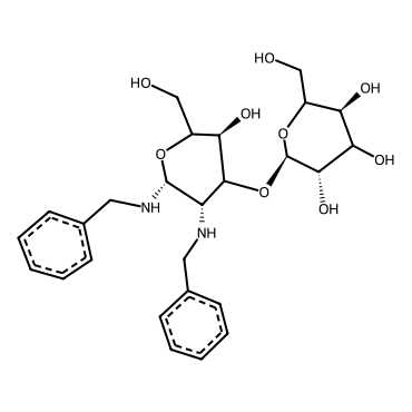 OCC1O[C@H](OC2[C@H](O)C(CO)O[C@@H](NCc3ccccc3)[C@H]2NCc2ccccc2)[C@@H](O)C(O)[C@@H]1O